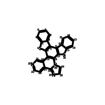 c1ccc2c(c1)sc1c2c2c3ccccc3sc2c2c1c1cnccc1c1nccn12